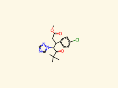 COC(=O)CC(c1ccc(Cl)cc1)C(C(=O)C(C)(C)C)n1cncn1